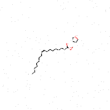 C1CCOC1.CCCCCCCC/C=C\CCCCCCCC(=O)OC